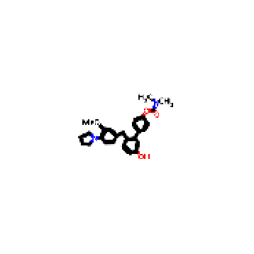 COc1cc(Cc2ccc(O)cc2-c2ccc(OC(=O)N(C)C)cc2)ccc1N1CCCC1